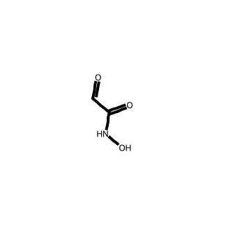 O=CC(=O)NO